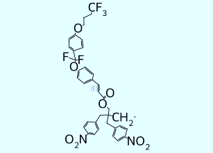 [CH2]C(COC(=O)/C=C/c1ccc(OC(F)(F)c2ccc(OCCCC(F)(F)F)cc2)cc1)(Cc1ccc([N+](=O)[O-])cc1)Cc1ccc([N+](=O)[O-])cc1